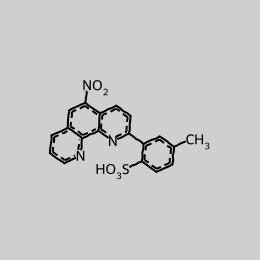 Cc1ccc(S(=O)(=O)O)c(-c2ccc3c([N+](=O)[O-])cc4cccnc4c3n2)c1